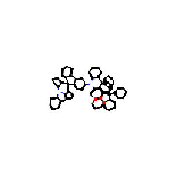 c1ccc(-c2cccc(-c3ccccc3N(c3ccc4c(c3)-c3ccccc3C43c4ccccc4-n4c5ccccc5c5cccc3c54)c3ccc4c(c3)C(c3ccccc3)(c3ccccc3)c3ccccc3-4)c2)cc1